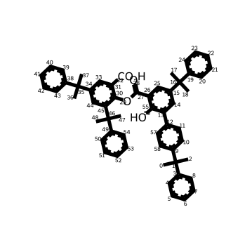 CC(C)(c1ccccc1)c1ccc(-c2cc(C(C)(C)c3ccccc3)cc(C(=O)Oc3c(C(=O)O)cc(C(C)(C)c4ccccc4)cc3C(C)(C)c3ccccc3)c2O)cc1